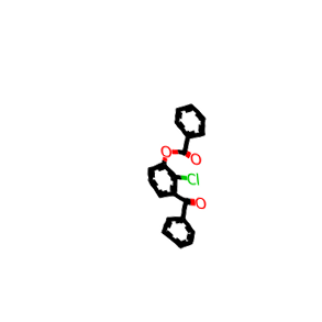 O=C(Oc1cccc(C(=O)c2ccccc2)c1Cl)c1ccccc1